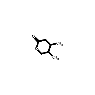 CC1COC(=O)CC1C